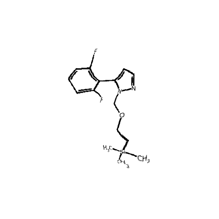 C[Si](C)(C)CCOCn1nccc1-c1c(F)cccc1F